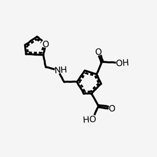 O=C(O)c1cc(CNCc2ccco2)cc(C(=O)O)c1